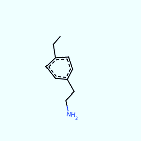 CCc1ccc(CCN)cc1